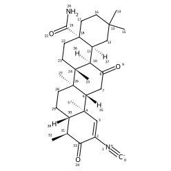 [C-]#[N+]C1=C[C@]2(C)[C@H]3CC(=O)[C@@H]4[C@@H]5CC(C)(C)CC[C@]5(C(N)=O)CC[C@@]4(C)[C@]3(C)CC[C@H]2[C@H](C)C1=O